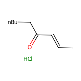 C/C=C/C(=O)CCCCC.Cl